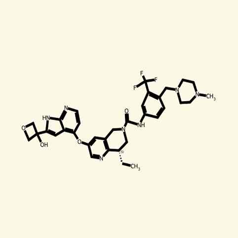 CC[C@H]1CN(C(=O)Nc2ccc(CN3CCN(C)CC3)c(C(F)(F)F)c2)Cc2cc(Oc3ccnc4[nH]c(C5(O)COC5)cc34)cnc21